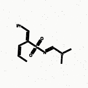 C/C=C\C(=C/C(C)C)S(=O)(=O)/N=C/N(C)C